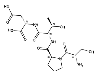 C[C@@H](O)[C@H](NC(=O)[C@@H]1CCCN1C(=O)[C@@H](N)CO)C(=O)N[C@@H](CC(=O)O)C(=O)O